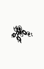 CCOc1ccc(N2C(=O)NC(=O)C(CCc3ccncc3)(CCc3ccncc3)C2=O)cc1